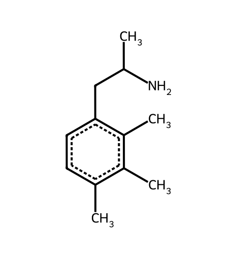 Cc1ccc(CC(C)N)c(C)c1C